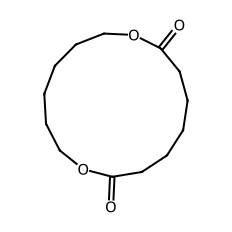 O=C1CCCCCC(=O)OCCCCCCO1